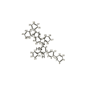 C1=C(c2ccc(-c3ccccc3)cc2)NC(c2ccccc2)NC1n1c2ccccc2c2c3sc(-c4ccccc4)c(-c4ccccc4)c3ccc21